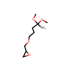 COC([SiH3])(CCCOCC1CO1)OC